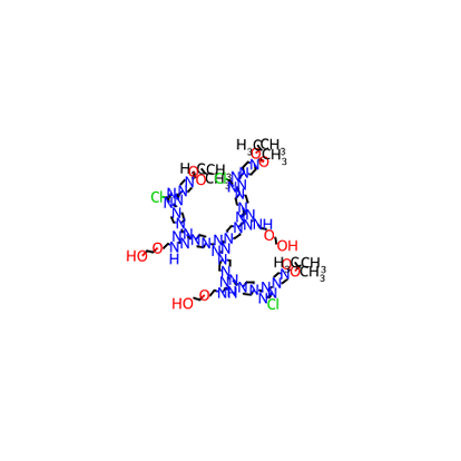 CC(C)(C)OC(=O)N1CCN(c2nc(Cl)nc(N3CCN(c4nc(NCCOCCO)nc(N5CCN(c6nc(N7CCN(c8nc(NCCOCCO)nc(N9CCN(c%10nc(Cl)nc(N%11CCN(C(=O)OC(C)(C)C)CC%11)n%10)CC9)n8)CC7)nc(N7CCN(c8nc(NCCOCCO)nc(N9CCN(c%10nc(Cl)nc(N%11CCN(C(=O)OC(C)(C)C)CC%11)n%10)CC9)n8)CC7)n6)CC5)n4)CC3)n2)CC1